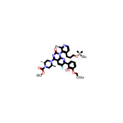 COCOc1cccc(-c2nc3c(cc2F)c(N2C[C@@H](C)N(C(=O)OC(C)(C)C)C[C@@H]2C)nc(=O)n3-c2c(CCCO[Si](C)(C)C(C)(C)C)ccnc2C(C)C)c1O